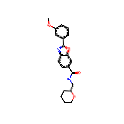 COc1cccc(-c2nc3ccc(C(=O)NCC4CCCCO4)cc3o2)c1